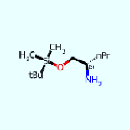 CCC[C@H](N)CO[Si](C)(C)C(C)(C)C